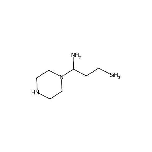 NC(CC[SiH3])N1CCNCC1